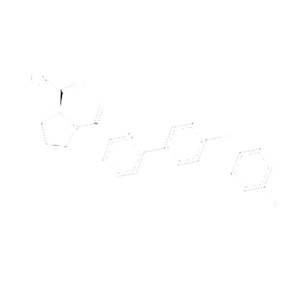 NC(=O)[C@@H]1CCCN1C(=O)c1cccc(-c2ccc(Oc3ccc(F)cc3)cc2)n1